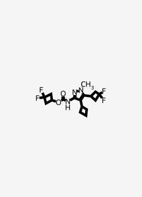 Cn1nc(NC(=O)OC2CC(F)(F)C2)c(C2CCC2)c1C1CC(F)(F)C1